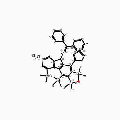 C[Si](C)(C)c1cccc2c1-c1c(c(C3=CC=CC3)c([Si](C)(C)C)c([Si](C)(C)C)c1[Si](C)(C)C)[CH]2[Zr+2]=[C](c1ccccc1)c1ccccc1.[Cl-].[Cl-]